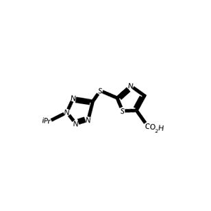 CC(C)n1nnc(Sc2ncc(C(=O)O)s2)n1